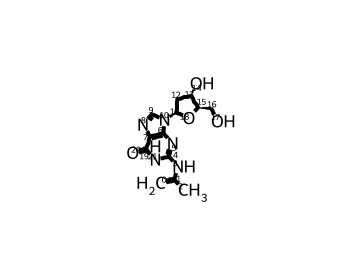 C=C(C)Nc1nc2c(ncn2[C@H]2C[C@H](O)[C@@H](CO)O2)c(=O)[nH]1